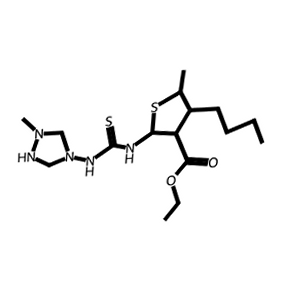 CCCCC1C(C)SC(NC(=S)NN2CNN(C)C2)C1C(=O)OCC